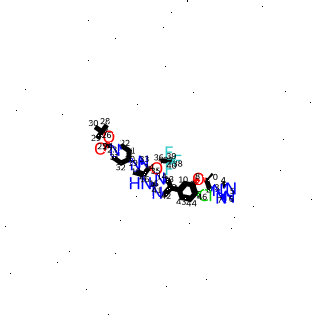 C[C@@H](Cn1cnnn1)Oc1cc(-c2cnc(Nc3cn(C4CCN(C(=O)OC(C)(C)C)CC4)nc3OCC(F)(F)F)nc2)ccc1Cl